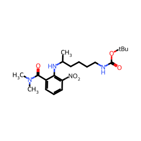 CC(CCCCNC(=O)OC(C)(C)C)Nc1c(C(=O)N(C)C)cccc1[N+](=O)[O-]